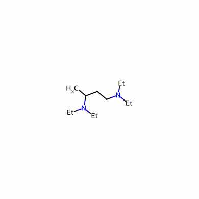 CCN(CC)CCC(C)N(CC)CC